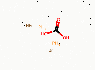 Br.Br.O=C(O)O.P.P